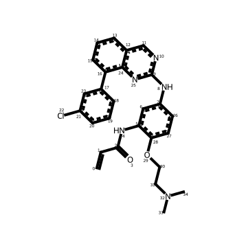 C=CC(=O)Nc1cc(Nc2ncc3cccc(-c4cccc(Cl)c4)c3n2)ccc1OCCN(C)C